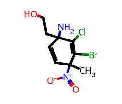 CC1([N+](=O)[O-])C=CC(N)(CCO)C(Cl)=C1Br